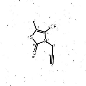 C#CCn1c(C(F)(F)F)c(C)sc1=O